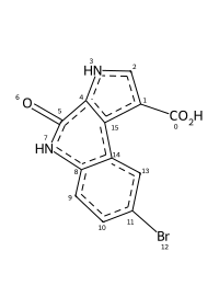 O=C(O)c1c[nH]c2c(=O)[nH]c3ccc(Br)cc3c12